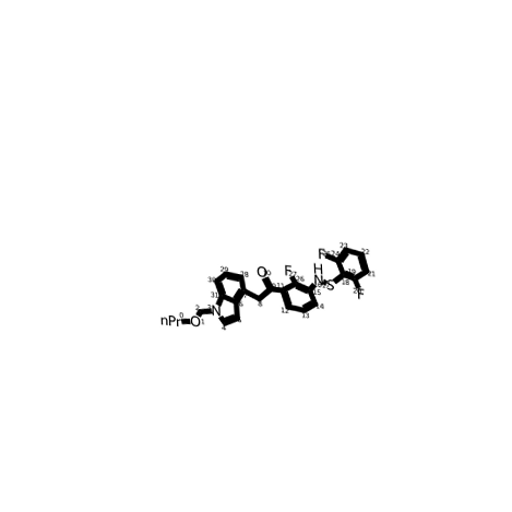 CCCOCn1ccc2c(CC(=O)c3cccc(NSc4c(F)cccc4F)c3F)cccc21